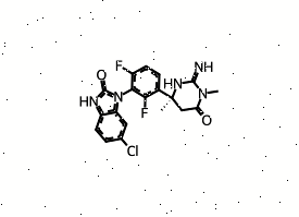 CN1C(=N)N[C@](C)(c2ccc(F)c(-n3c(=O)[nH]c4ccc(Cl)cc43)c2F)CC1=O